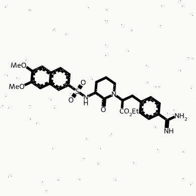 CCOC(=O)C(Cc1ccc(C(=N)N)cc1)N1CCCC(NS(=O)(=O)c2ccc3cc(OC)c(OC)cc3c2)C1=O